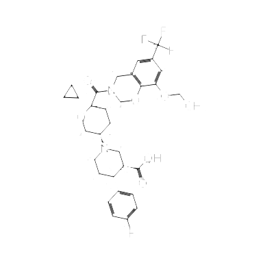 CCOc1cc(C(F)(F)F)cc2c1OCN(C(=O)[C@@]1(C3CC3)CC[C@@H](N3CC[C@@H](c4ccc(F)cc4)[C@H](C(=O)O)C3)CO1)C2